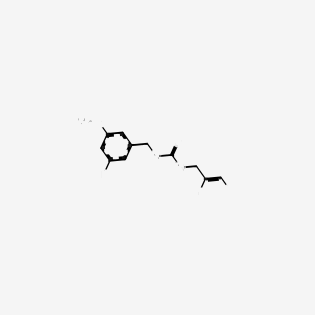 CC/C=C(\CC)CNC(=O)NCc1cc(F)cc(OC)c1